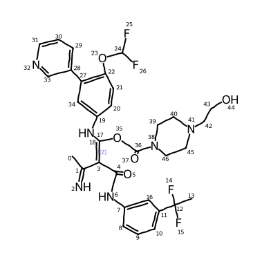 CC(=N)/C(C(=O)Nc1cccc(C(C)(F)F)c1)=C(\Nc1ccc(OC(F)F)c(-c2cccnc2)c1)OC(=O)N1CCN(CCO)CC1